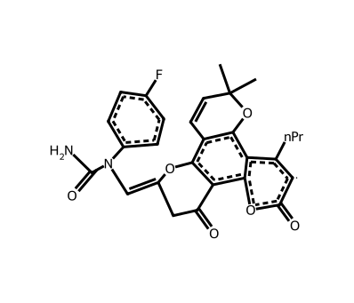 CCCc1[c]c(=O)oc2c3c(c4c(c12)OC(C)(C)C=C4)OC(=CN(C(N)=O)c1ccc(F)cc1)CC3=O